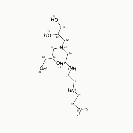 CN(C)CCNCCNCCN(CC(O)CO)CC(O)CO